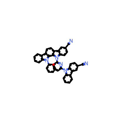 N#Cc1ccc2c(c1)c1ccccc1n2-c1cccc(-n2c3ccc(C#N)cc3c3ccc4c5ccccc5n(-c5ccccc5)c4c32)n1